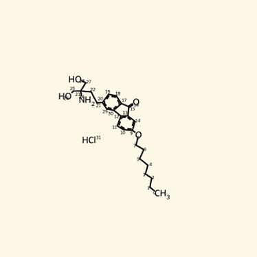 CCCCCCCCOc1ccc2c(c1)C(=O)c1ccc(CCC(N)(CO)CO)cc1-2.Cl